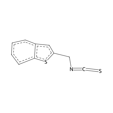 S=C=NCc1cc2ccccc2s1